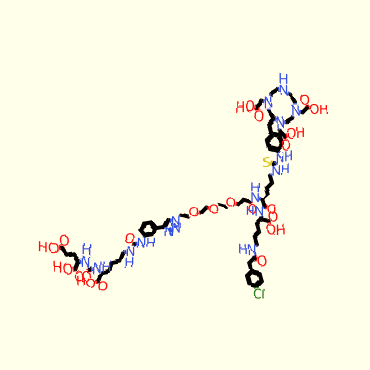 O=C(O)CCC(NC(=O)NC(CCCCNC(=O)Nc1cccc(-c2cn(CCOCCOCCOCCC(=O)N[C@@H](CCCCNC(=S)Nc3ccc(CC4CN(CC(=O)O)CCNCCN(CC(=O)O)CCN4CC(=O)O)cc3)C(=O)NC(CCCCNC(=O)Cc3ccc(Cl)cc3)C(=O)O)nn2)c1)C(=O)O)C(=O)O